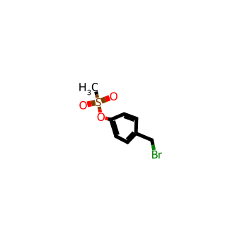 CS(=O)(=O)Oc1ccc(CBr)cc1